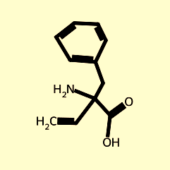 C=CC(N)(Cc1ccccc1)C(=O)O